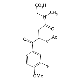 COc1ccc(C(=O)C(CC(=O)N(C)CC(=O)O)SC(C)=O)cc1F